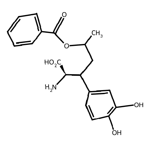 CC(CC(c1ccc(O)c(O)c1)[C@@H](N)C(=O)O)OC(=O)c1ccccc1